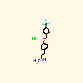 CNCCc1ccc(OCc2ccc(C(F)(F)F)cc2)cc1.Cl